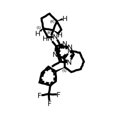 Cc1cc(N2C[C@H]3CC[C@@H](C2)[C@H]3Nc2nc3n(n2)CCCC[C@H]3c2cccc(C(F)(F)F)c2)ncn1